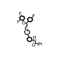 CC(C)C(=O)Nc1cccc(C2CCN(CCC(Oc3ccc(F)cc3F)c3ccc(F)cc3)CC2)c1